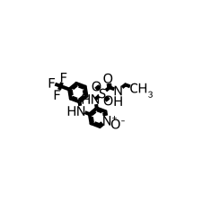 CCNC(=O)S(=O)(=O)Nc1c[n+]([O-])ccc1Nc1cccc(C(F)(F)F)c1